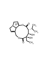 CC[C@]1(O)C(=O)OCC2=CCN3CC[C@@H](OC(=O)[C@H](C(C)C)[C@H]1O)[C@@H]23